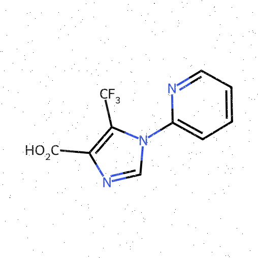 O=C(O)c1ncn(-c2ccccn2)c1C(F)(F)F